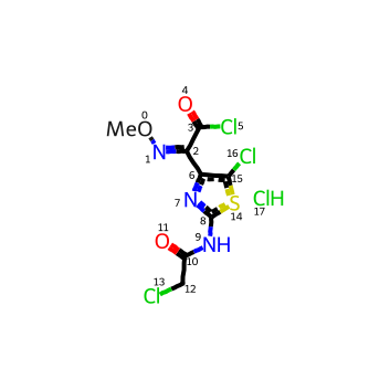 CON=C(C(=O)Cl)c1nc(NC(=O)CCl)sc1Cl.Cl